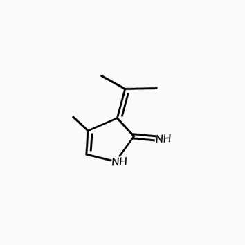 CC1=CNC(=N)C1=C(C)C